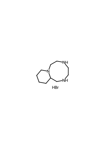 Br.C1CCN2CCNCCNCC2C1